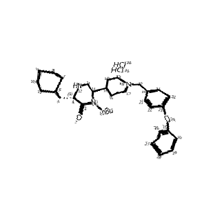 CCCCN1C(=O)[C@H](CC2CCCCC2)NCC1C1CCN(Cc2ccc(Oc3ccccc3)cc2)CC1.Cl.Cl